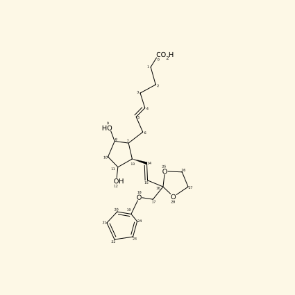 O=C(O)CCCC=CCC1C(O)CC(O)[C@@H]1C=CC1(COc2ccccc2)OCCO1